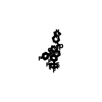 O=C([C@H]1CCc2cncn2C1)N1CC[C@@]2(S(=O)(=O)c3ccc(F)cc3)c3ccc(C(F)(C(F)(F)F)C(F)(F)F)cc3CC[C@@H]12